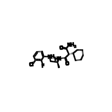 C[C@@H](CNc1cccc(Cl)c1F)NC(=O)[C@H](C(N)=O)C1CCCCC1